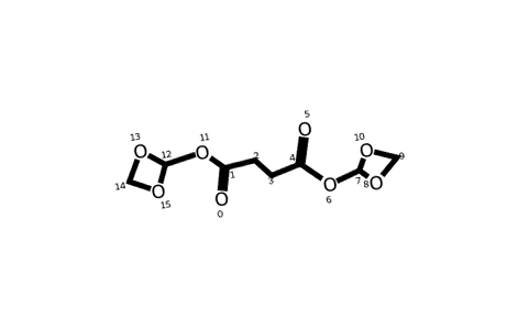 O=C(CCC(=O)OC1OCO1)OC1OCO1